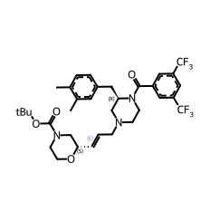 Cc1ccc(C[C@@H]2CN(C/C=C/[C@H]3CN(C(=O)OC(C)(C)C)CCO3)CCN2C(=O)c2cc(C(F)(F)F)cc(C(F)(F)F)c2)cc1C